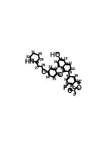 CS(=O)(=O)c1c(F)cc(-c2ccc3cc(O)ccc3c2Oc2ccc(OCCC3CCCCN3)cc2)cc1F